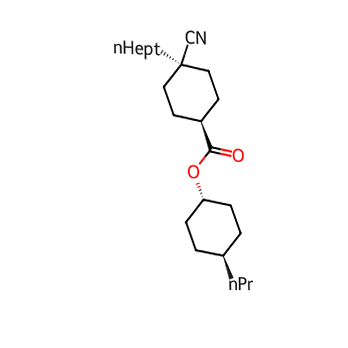 CCCCCCC[C@]1(C#N)CC[C@@H](C(=O)O[C@H]2CC[C@H](CCC)CC2)CC1